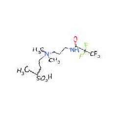 CC(CC[N+](C)(C)CCCNC(=O)C(F)(F)C(F)(F)F)S(=O)(=O)O